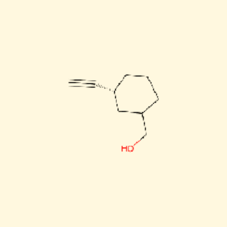 C#C[C@@H]1CCCC(CO)C1